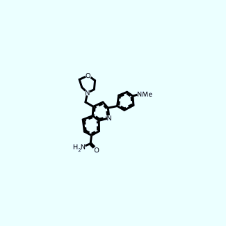 CNc1ccc(-c2cc(CN3CCOCC3)c3ccc(C(N)=O)cc3n2)cc1